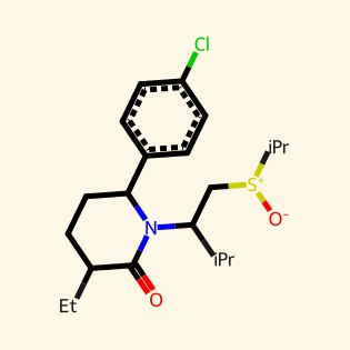 CCC1CCC(c2ccc(Cl)cc2)N(C(C[S+]([O-])C(C)C)C(C)C)C1=O